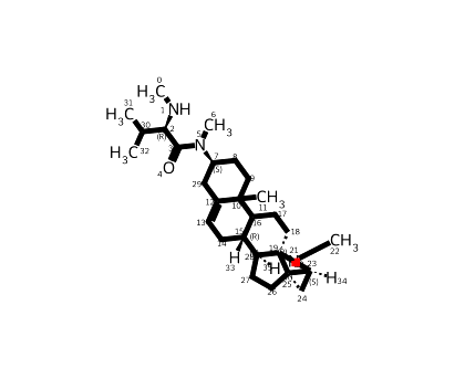 CN[C@@H](C(=O)N(C)[C@H]1CCC2(C)C(=CC[C@@H]3C2CC[C@]24CN(C)[C@H]5C[C@@]52CC[C@@H]34)C1)C(C)C